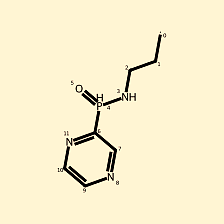 [CH2]CCN[PH](=O)c1cnccn1